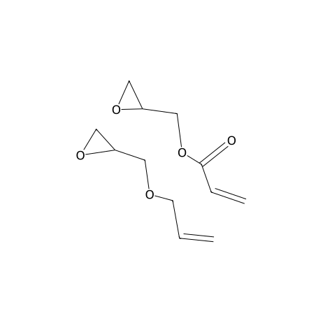 C=CC(=O)OCC1CO1.C=CCOCC1CO1